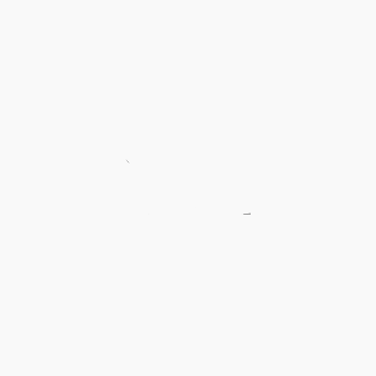 C=CCOCC1COC(CCCC2OCC(COCC=C)O2)O1